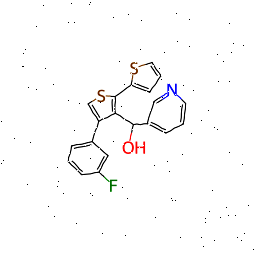 OC(c1cccnc1)c1c(-c2cccc(F)c2)csc1-c1cccs1